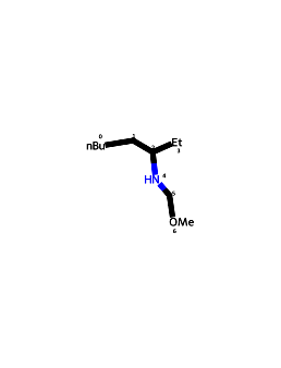 CCCCCC(CC)NCOC